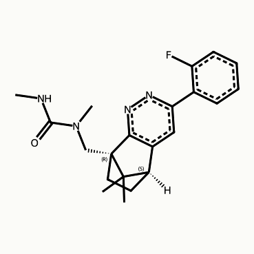 CNC(=O)N(C)C[C@]12CC[C@H](c3cc(-c4ccccc4F)nnc31)C2(C)C